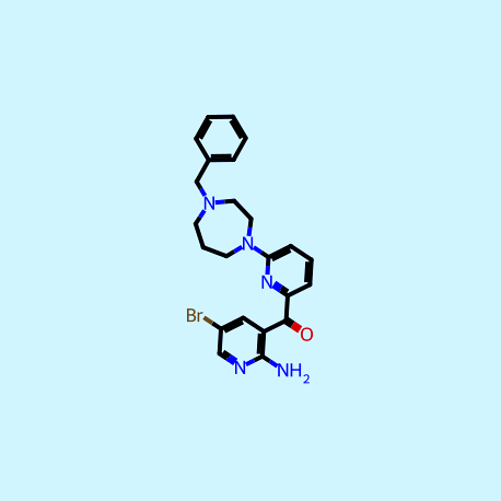 Nc1ncc(Br)cc1C(=O)c1cccc(N2CCCN(Cc3ccccc3)CC2)n1